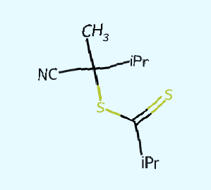 CC(C)C(=S)SC(C)(C#N)C(C)C